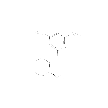 COc1cc(OC)nc(O[C@H]2CCCC[C@@H]2C(=O)O)n1